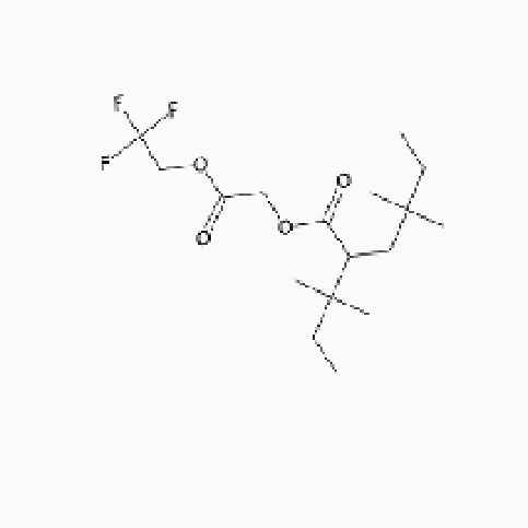 CCC(C)(C)CC(C(=O)OCC(=O)OCC(F)(F)F)C(C)(C)CC